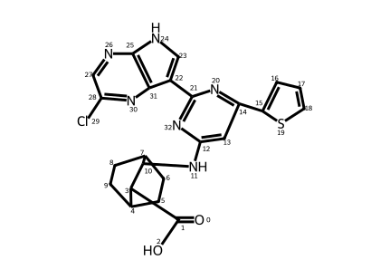 O=C(O)C1C2CCC(CC2)C1Nc1cc(-c2cccs2)nc(-c2c[nH]c3ncc(Cl)nc23)n1